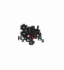 Bc1cc(I)cc([C@H]2[C@@H]3C(=O)O[C@@H](c4ccccc4)[C@@H](c4ccccc4)N3C3(CCC(C)(C)CC3)[C@]23C(=O)Nc2cc(Cl)ccc23)c1